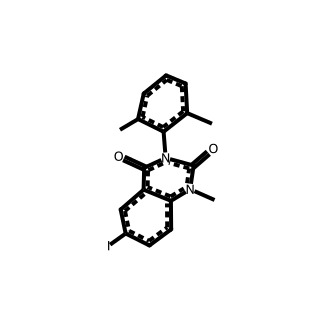 Cc1cccc(C)c1-n1c(=O)c2cc(I)ccc2n(C)c1=O